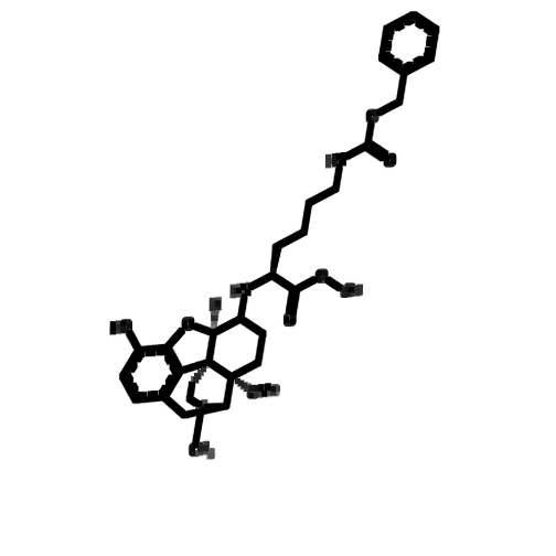 CO[C@@]12CCC(N[C@@H](CCCCNC(=O)OCc3ccccc3)C(=O)OC(C)(C)C)[C@@H]3Oc4c(O)ccc5c4[C@@]31CCN(C)C2C5